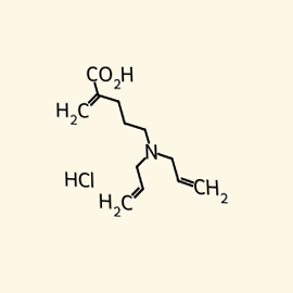 C=CCN(CC=C)CCCC(=C)C(=O)O.Cl